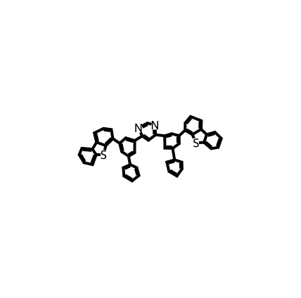 c1ccc(-c2cc(-c3cc(-c4cc(-c5ccccc5)cc(-c5cccc6c5sc5ccccc56)c4)ncn3)cc(-c3cccc4c3sc3ccccc34)c2)cc1